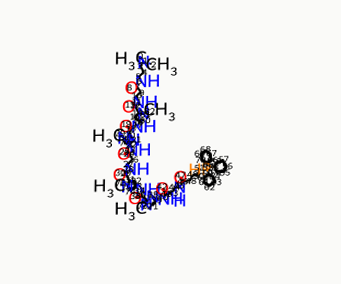 CN(C)CCCNC(=O)CCNC(=O)c1cc(NC(=O)c2nc(NC(=O)CCNC(=O)c3cc(NC(=O)c4nc(NC(=O)CCNC(=O)CCCC[PH](c5ccccc5)(c5ccccc5)c5ccccc5)cn4C)cn3C)cn2C)cn1C